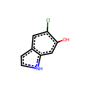 Oc1cc2[nH]c[c]c2cc1Cl